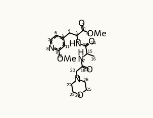 COC(=O)C(Cc1ccnc(OC)c1)NC(=O)C(C)NC(=O)CN1CCOCC1